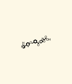 O=C(O)c1nc2c(o1)CN(C(=O)c1cccc(COc3ccc(-c4ccn[nH]4)nc3)c1)C2